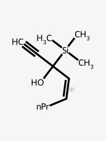 C#CC(O)(/C=C\CCC)[Si](C)(C)C